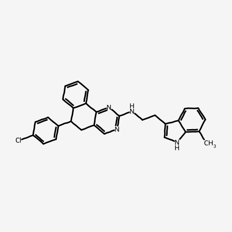 Cc1cccc2c(CCNc3ncc4c(n3)-c3ccccc3C(c3ccc(Cl)cc3)C4)c[nH]c12